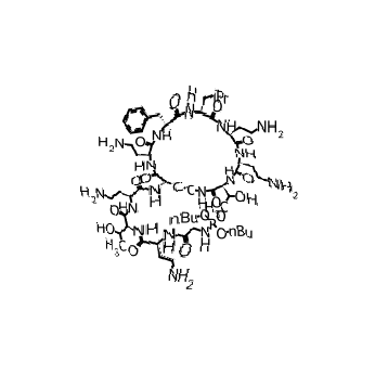 CCCCOP(=O)(NCC(=O)N[C@@H](CCN)C(=O)N[C@H](C(=O)N[C@@H](CCN)C(=O)N[C@H]1CCNC(=O)[C@H](C(C)O)NC(=O)[C@H](CCN)NC(=O)[C@H](CCN)NC(=O)[C@H](CC(C)C)NC(=O)[C@@H](Cc2ccccc2)NC(=O)[C@H](CCN)NC1=O)C(C)O)OCCCC